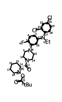 CCN(c1ccc(F)c(N2CCN(C(=O)[C@H]3CCCCN3OC(=O)C(C)(C)C)CC2)c1)c1ccc(Cl)cc1Cl